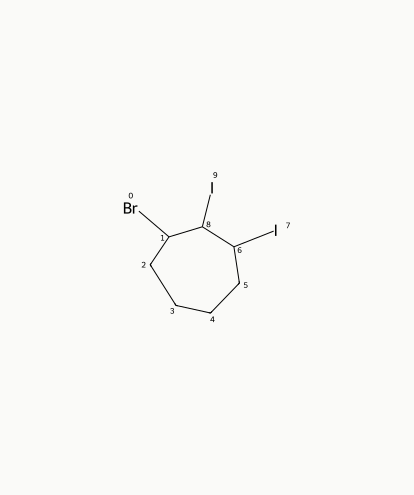 BrC1CCCCC(I)C1I